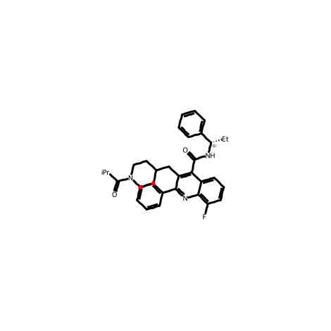 CC[C@H](NC(=O)c1c(CC2CCN(C(=O)C(C)C)CC2)c(-c2ccccc2)nc2c(F)cccc12)c1ccccc1